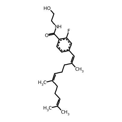 CC(C)=CCCC(C)=CCCC(C)=Cc1ccc(C(=O)NCCO)c(F)c1